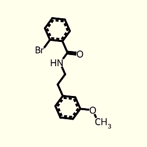 COc1cccc(CCNC(=O)c2ccccc2Br)c1